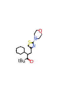 CC(C)(C)C(=O)C(Cc1csc(N2CCOCC2)n1)C1CCCCC1